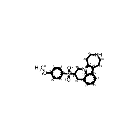 COc1ccc(S(=O)(=O)C2Cc3cccc4c5c(n(c34)C2)CCNCC5)cc1